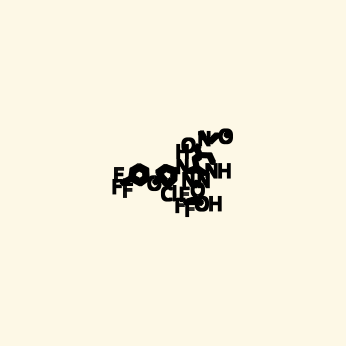 COCCN(C)C(=O)C1=Cc2c(ncnc2Nc2ccc(Oc3cccc(C(F)(F)F)c3)c(Cl)c2)NCC1.O=C(O)C(F)(F)F